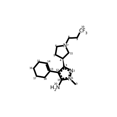 Cn1nc([C@H]2CCN(CCC(F)(F)F)C2)c(C2=CCCCC2)c1N